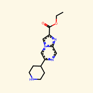 CCOC(=O)c1cn2cc(C3CCNCC3)ncc2n1